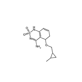 CC1CC1COC1CC=CC2=C1C(N)=NS(=O)(=O)N2